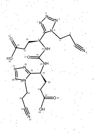 N#CCCn1nnnc1[C@H](CCC(=O)O)NC(=O)N[C@@H](CCC(=O)O)c1nnnn1CCC#N